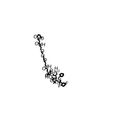 CC(C)(C)[C@H](c1nc(-c2cc(F)ccc2F)cn1Cc1ccccc1)N(CC(CN)CS[C@@H]1CC(=O)N(CCC(=O)NCCCOCCOCCOCCCNC(=O)CCN2C(=O)C=CC2=O)C1=O)C(=O)CO